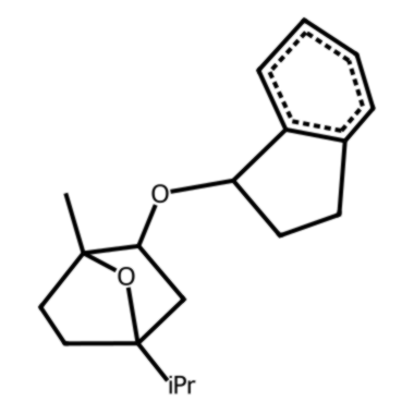 CC(C)C12CCC(C)(O1)C(OC1CCc3ccccc31)C2